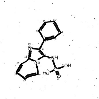 O=P(O)(O)Nc1c(-c2ccccc2)nc2ccccn12